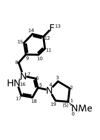 CN[C@H]1CCN(C2=CN(Cc3ccc(F)cc3)NC=C2)C1